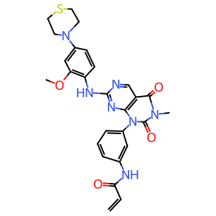 C=CC(=O)Nc1cccc(-n2c(=O)n(C)c(=O)c3cnc(Nc4ccc(N5CCSCC5)cc4OC)nc32)c1